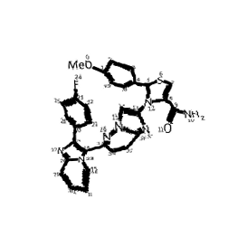 COc1ccc(C2SC=C(C(N)=O)N2c2cn3nc(-c4c(-c5ccc(F)cc5)nc5ccccn45)ccc3n2)cc1